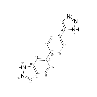 c1cc(-c2cnn[nH]2)ccc1-c1ccc2cn[nH]c2c1